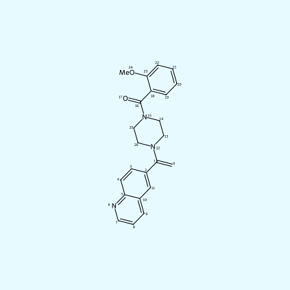 C=C(c1ccc2ncccc2c1)N1CCN(C(=O)c2ccccc2OC)CC1